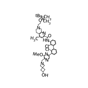 COc1nc(-c2cccc(-c3cccc(NC(=O)c4cc(C)c5c(n4)CN(CCO[Si](C)(C)C(C)(C)C)CC5)c3Cl)c2Cl)cnc1CN1CC2(CC(O)C2)C1